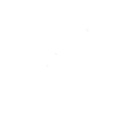 CC(C)(C)c1ccc(CN2CCCN(Cc3ccc(NS(C)(=O)=O)cc3)C2=S)cc1